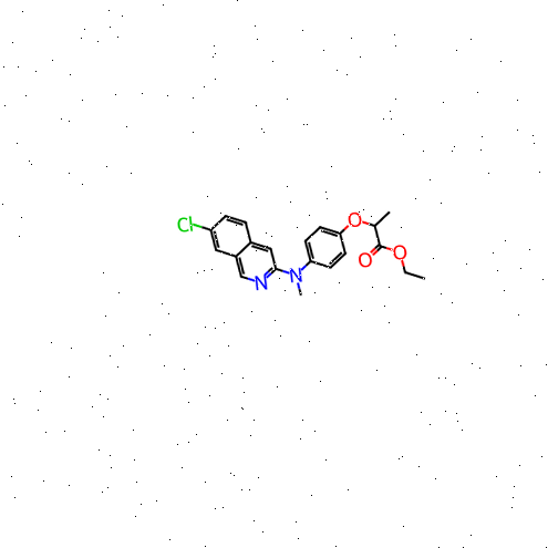 CCOC(=O)C(C)Oc1ccc(N(C)c2cc3ccc(Cl)cc3cn2)cc1